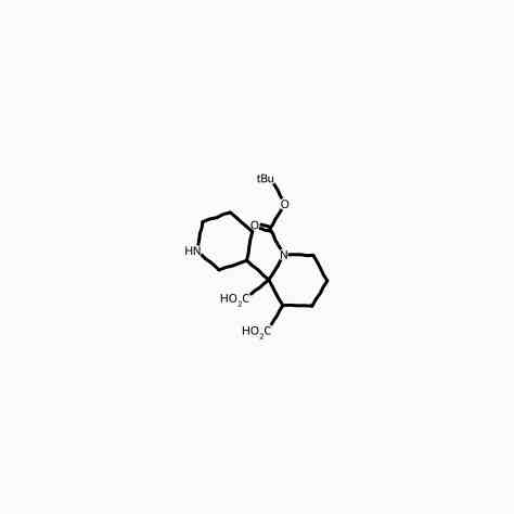 CC(C)(C)OC(=O)N1CCCC(C(=O)O)C1(C(=O)O)C1CCCNC1